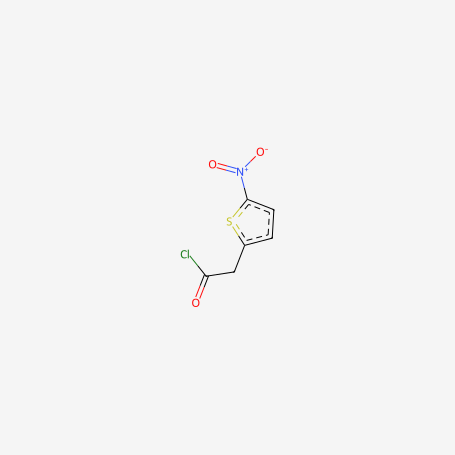 O=C(Cl)Cc1ccc([N+](=O)[O-])s1